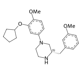 COc1cccc(C[C@H]2CN(c3ccc(OC)c(OC4CCCC4)c3)CCN2)c1